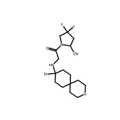 CCC1(NCC(=O)N2CC(F)(F)CC2C#N)CCC2(CCOCC2)CC1